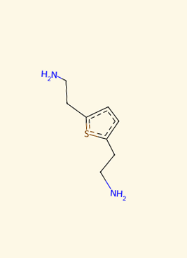 NCCc1ccc(CCN)s1